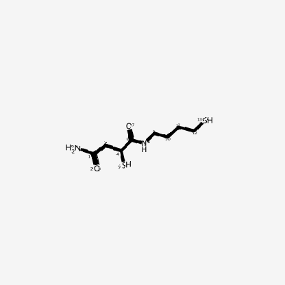 NC(=O)CC(S)C(=O)NCCCCS